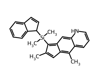 Cc1cc2c(C)c3ccc[nH]c3cc2c1[Si](C)(C)C1C=Cc2ccccc21